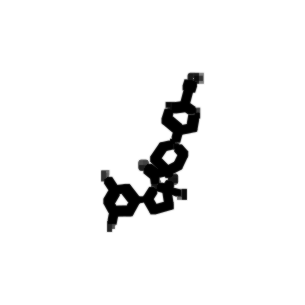 C#Cc1ncc(N2CCC3(CC2)O[C@@H]2CC[C@@H](c4cc(F)cc(F)c4)N2C3=O)cn1